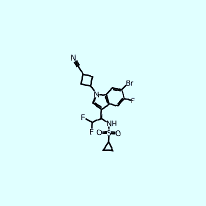 N#CC1CC(n2cc(C(NS(=O)(=O)C3CC3)C(F)F)c3cc(F)c(Br)cc32)C1